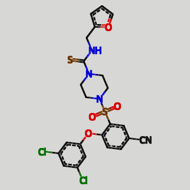 N#Cc1ccc(Oc2cc(Cl)cc(Cl)c2)c(S(=O)(=O)N2CCN(C(=S)NCc3ccco3)CC2)c1